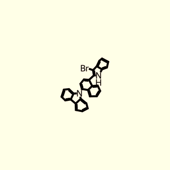 Brc1c(-c2ccc(-n3c4ccccc4c4ccccc43)c3ccccc23)[nH]c2ccccc12